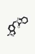 Cn1ncc2cc(Cn3nc4n(c3=O)CCCC4)ccc21